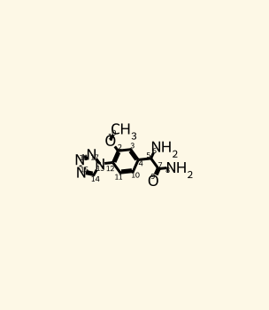 COc1cc(C(N)C(N)=O)ccc1-n1cnnn1